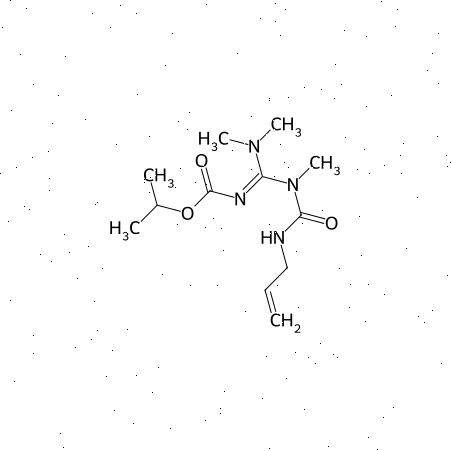 C=CCNC(=O)N(C)C(=NC(=O)OC(C)C)N(C)C